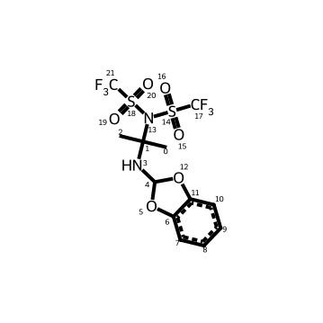 CC(C)(NC1Oc2ccccc2O1)N(S(=O)(=O)C(F)(F)F)S(=O)(=O)C(F)(F)F